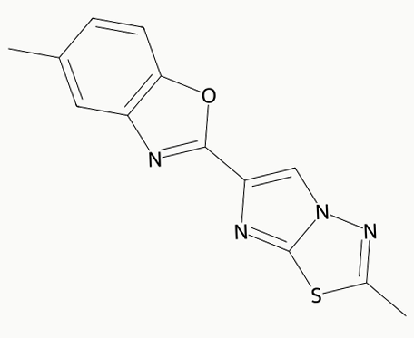 Cc1ccc2oc(-c3cn4nc(C)sc4n3)nc2c1